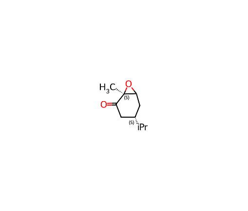 CC(C)[C@@H]1CC(=O)[C@@]2(C)OC2C1